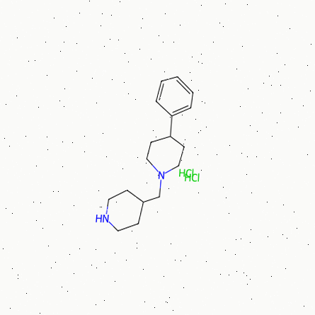 Cl.Cl.c1ccc(C2CCN(CC3CCNCC3)CC2)cc1